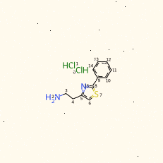 Cl.Cl.NCCc1csc(-c2ccccc2)n1